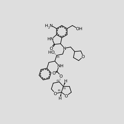 Nc1cc(CO)cc2c1NC(=O)C2N(CC1CCOC1)C[C@@H](O)C(Cc1ccccc1)NC(=O)O[C@H]1CCO[C@H]2OCC[C@H]21